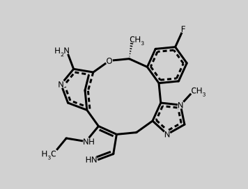 CCN/C1=C(\C=N)Cc2ncn(C)c2-c2ccc(F)cc2[C@@H](C)Oc2cc1cnc2N